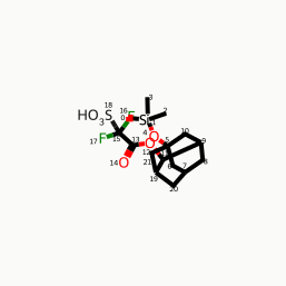 C[Si](C)(C)OC12CC3CC(C1)C(OC(=O)C(F)(F)S(=O)(=O)O)C(C3)C2